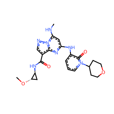 CNc1cc(Nc2cccn(C3CCOCC3)c2=O)nc2c(C(=O)N[C@H]3C[C@@H]3OC)cnn12